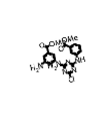 COC(=O)c1cccc(N)c1.COC(=O)c1cccc(Nc2nc(N)nc(Cl)n2)c1